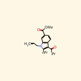 C=CCn1c(CCC)c(C(=O)C(C)C)c2ccc(C(=O)OC)cc21